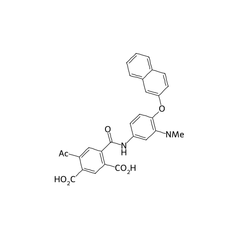 CNc1cc(NC(=O)c2cc(C(C)=O)c(C(=O)O)cc2C(=O)O)ccc1Oc1ccc2ccccc2c1